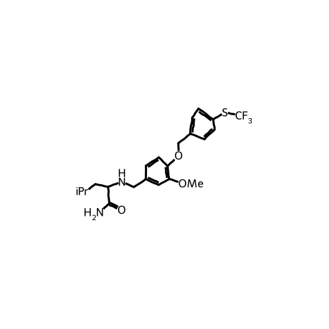 COc1cc(CNC(CC(C)C)C(N)=O)ccc1OCc1ccc(SC(F)(F)F)cc1